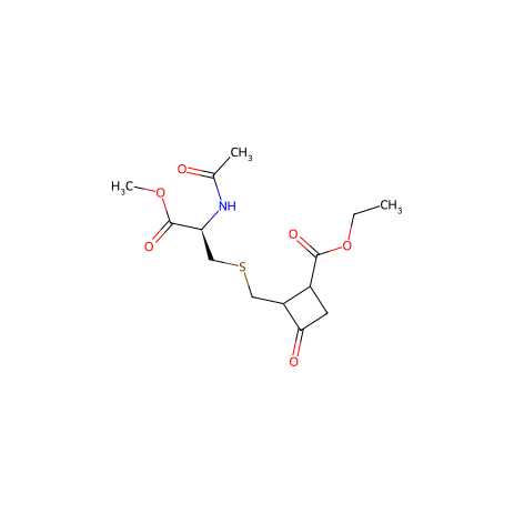 CCOC(=O)C1CC(=O)C1CSC[C@H](NC(C)=O)C(=O)OC